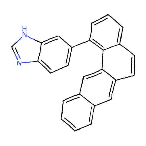 c1ccc2cc3c(ccc4cccc(-c5ccc6nc[nH]c6c5)c43)cc2c1